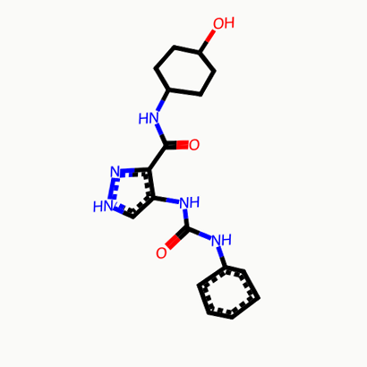 O=C(Nc1ccccc1)Nc1c[nH]nc1C(=O)NC1CCC(O)CC1